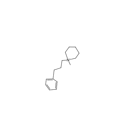 C[N+]1(CCCc2ccccc2)CCCCC1